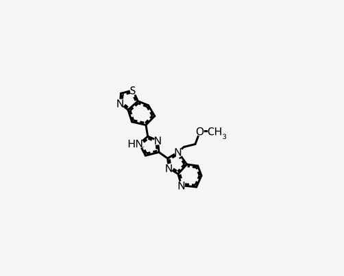 COCCn1c(-c2c[nH]c(-c3ccc4scnc4c3)n2)nc2ncccc21